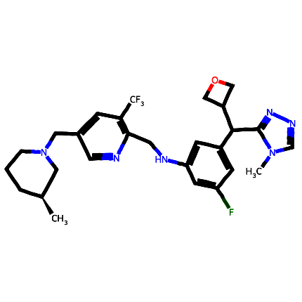 C[C@H]1CCCN(Cc2cnc(CNc3cc(F)cc(C(c4nncn4C)C4COC4)c3)c(C(F)(F)F)c2)C1